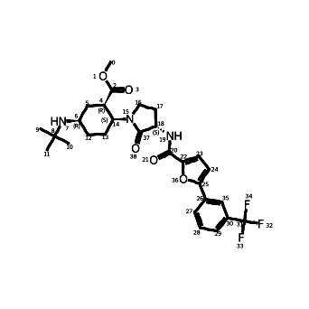 COC(=O)[C@@H]1C[C@H](NC(C)(C)C)CC[C@@H]1N1CC[C@H](NC(=O)c2ccc(-c3cccc(C(F)(F)F)c3)o2)C1=O